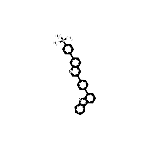 C[Si](C)(C)c1ccc(-c2ccc3cc(-c4ccc(-c5cccc6c5sc5ccccc56)cc4)cnc3c2)cc1